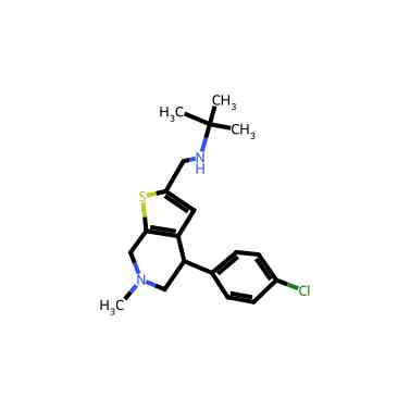 CN1Cc2sc(CNC(C)(C)C)cc2C(c2ccc(Cl)cc2)C1